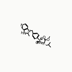 COC(=O)[C@H](CC(C)C)NS(=O)(=O)c1ccc(CN2c3ccncc3NC2C)cc1